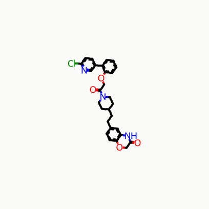 O=C1COc2ccc(CCC3CCN(C(=O)COc4ccccc4-c4ccc(Cl)nc4)CC3)cc2N1